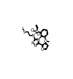 C=CS(=O)(=O)N(CCSI)c1nnc(-c2ccco2)n1-c1c(OC)cccc1OC